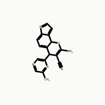 Cc1cncc(C2C3=CC=C4N=CC=C4C3OC(N)=C2C#N)n1